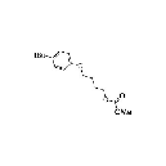 COC(=O)OCCCCOc1ccc(C(C)(C)C)cc1